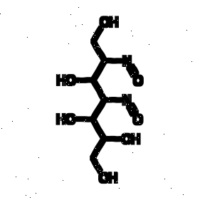 O=NC(CO)C(O)C(N=O)C(O)C(O)CO